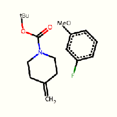 C=C1CCN(C(=O)OC(C)(C)C)CC1.COc1cccc(F)c1